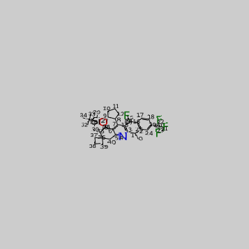 CC(C)c1nc2c(c(C3CCCC3)c1[C@@H](F)c1ccc(C(F)(F)F)cc1)[C@@H](O[Si](C)(C)C(C)(C)C)CC1(CCC1)C2